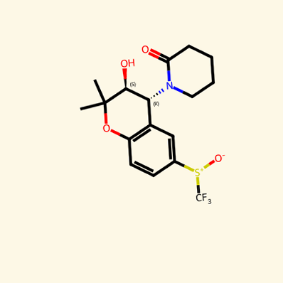 CC1(C)Oc2ccc([S+]([O-])C(F)(F)F)cc2[C@@H](N2CCCCC2=O)[C@@H]1O